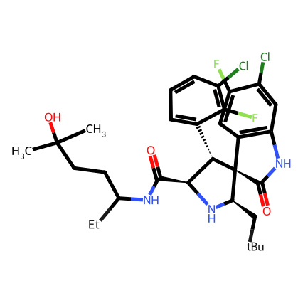 CCC(CCC(C)(C)O)NC(=O)[C@@H]1N[C@H](CC(C)(C)C)[C@]2(C(=O)Nc3cc(Cl)c(F)cc32)[C@H]1c1cccc(Cl)c1F